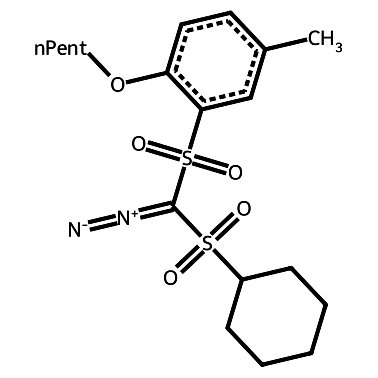 CCCCCOc1ccc(C)cc1S(=O)(=O)C(=[N+]=[N-])S(=O)(=O)C1CCCCC1